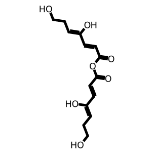 O=C(C=CC(O)=CCCO)OC(=O)C=CC(O)=CCCO